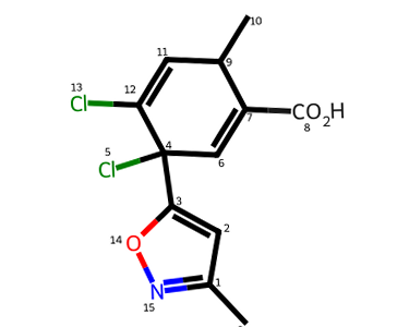 Cc1cc(C2(Cl)C=C(C(=O)O)C(C)C=C2Cl)on1